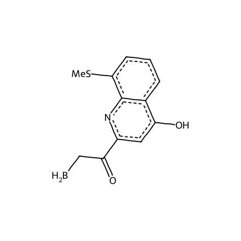 BCC(=O)c1cc(O)c2cccc(SC)c2n1